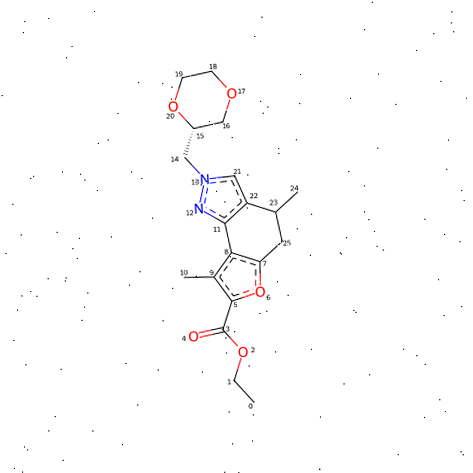 CCOC(=O)c1oc2c(c1C)-c1nn(C[C@H]3COCCO3)cc1C(C)C2